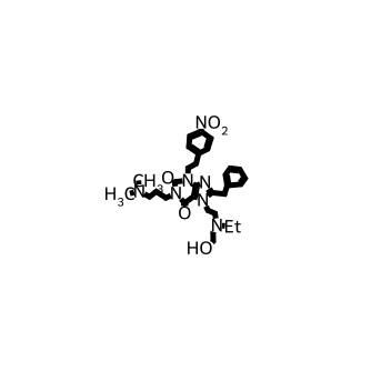 CCN(CCO)CCn1c(Cc2ccccc2)nc2c1c(=O)n(CCCN(C)C)c(=O)n2CCc1ccc([N+](=O)[O-])cc1